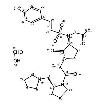 CCC(=O)CN([C@H]1CCN([C@@H](C)C(=O)N2CCC[C@H]2CN2CCCC2)C1=O)S(=O)(=O)/C=C/c1ccc(Cl)cc1.O=CO